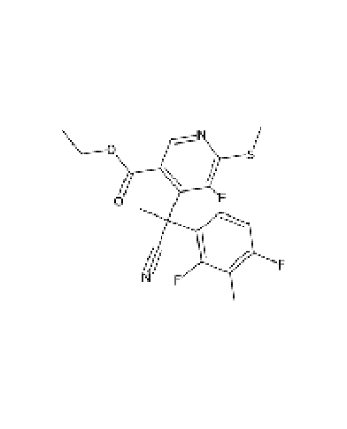 CCOC(=O)c1cnc(SC)c(F)c1C(C)(C#N)c1ccc(F)c(C)c1F